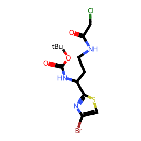 CC(C)(C)OC(=O)NC(CCNC(=O)CCl)c1nc(Br)cs1